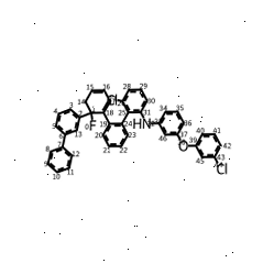 FC1(c2cccc(-c3ccccc3)c2)CC=CC=C1c1ccccc1-c1c(Cl)cccc1Nc1cccc(Oc2cccc(Cl)c2)c1